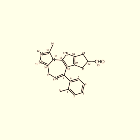 Cc1ccccc1C1=NCc2nnc(C)n2-c2sc3c(c21)CC(C=O)C3